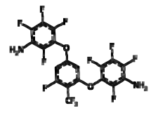 Nc1c(F)c(F)c(F)c(Oc2cc(F)c(C(F)(F)F)c(Oc3c(F)c(N)c(F)c(F)c3F)c2)c1F